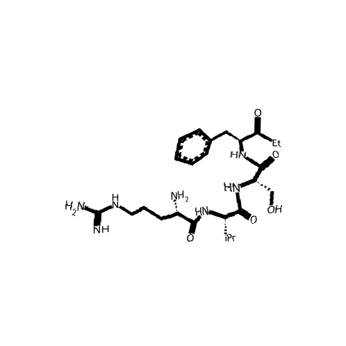 CCC(=O)[C@H](Cc1ccccc1)NC(=O)[C@H](CO)NC(=O)[C@@H](NC(=O)[C@@H](N)CCCNC(=N)N)C(C)C